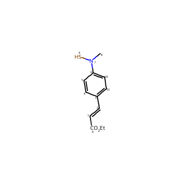 CCOC(=O)/C=C/c1ccc(N(C)S)cc1